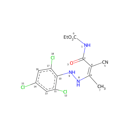 CCOC(=O)NC(=O)C(C#N)=C(C)NNc1c(Cl)cc(Cl)cc1Cl